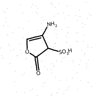 NC1=COC(=O)C1S(=O)(=O)O